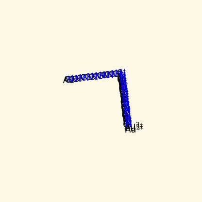 [Au+3].[Au+3].[Au+3].[Au+3].[C-]#N.[C-]#N.[C-]#N.[C-]#N.[C-]#N.[C-]#N.[C-]#N.[C-]#N.[C-]#N.[C-]#N.[C-]#N.[C-]#N.[C-]#N.[C-]#N.[C-]#N.[C-]#N.[C-]#N.[C-]#N.[C-]#N.[C-]#N.[C-]#N.[C-]#N.[C-]#N.[C-]#N.[C-]#N.[C-]#N.[C-]#N.[C-]#N.[C-]#N.[C-]#N.[C-]#N.[C-]#N.[C-]#N.[C-]#N.[C-]#N.[C-]#N.[C-]#N.[C-]#N.[C-]#N.[C-]#N.[C-]#N.[C-]#N.[C-]#N.[C-]#N.[C-]#N.[C-]#N